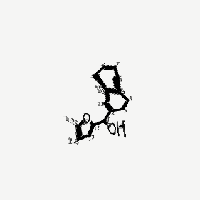 OC(c1ccc2ccccc2c1)c1ccco1